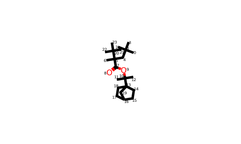 CC(C)(C)CC(C)(C(=O)OC(C)(C)C12CCC(CC1)C2)C(C)(C)C